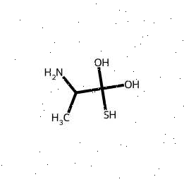 CC(N)C(O)(O)S